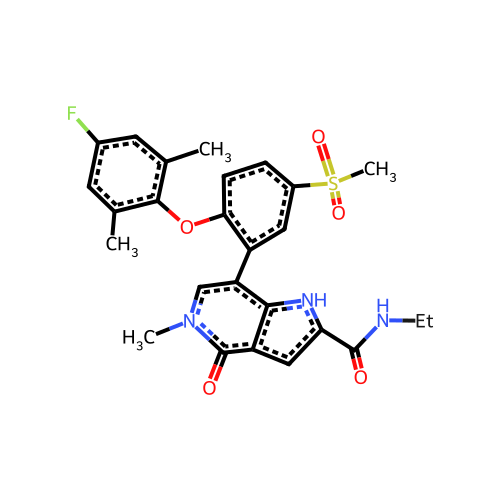 CCNC(=O)c1cc2c(=O)n(C)cc(-c3cc(S(C)(=O)=O)ccc3Oc3c(C)cc(F)cc3C)c2[nH]1